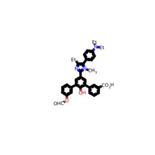 CCc1nc(-c2cc(-c3cccc(OC=O)c3)c(O)c(-c3cccc(C(=O)O)c3)c2)n(C)c1-c1ccc(N(CC)CC)cc1